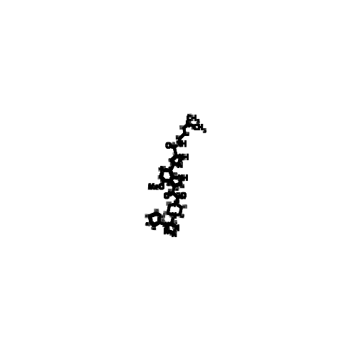 COc1cnc(-c2cc(C(=O)NCCCN(C)C)[nH]n2)c2[nH]cc(C(=O)C(=O)N3CCN(c4nnnn4-c4ccccc4)CC3)c12